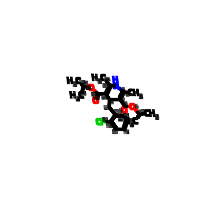 CC1=C(C(=O)OC(C)C)C(Cc2ccccc2Cl)C(C(=O)OC(C)C)=C(C)N1